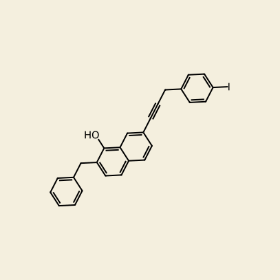 Oc1c(Cc2ccccc2)ccc2ccc(C#CCc3ccc(I)cc3)cc12